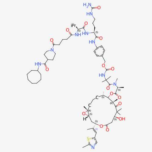 C/C(=C\c1cnc(C)s1)[C@@H]1C[C@@H]2O[C@]2(C)CCC[C@H](C)C(OC(=O)[C@H](C)N(C)C(=O)C(C)(C)NC(=O)OCc2ccc(NC(=O)[C@H](CCCNC(N)=O)NC(=O)[C@@H](NC(=O)CCCC(=O)N3CCC(C(=O)NC4CCCCCCC4)CC3)C(C)C)cc2)[C@@H](C)C(=O)C(C)(C)[C@@H](O)CC(=O)O1